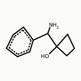 NC(c1ccccc1)C1(O)CCC1